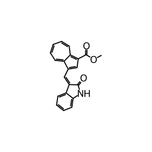 COC(=O)c1cc(C=C2C(=O)Nc3ccccc32)c2cccccc1-2